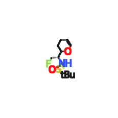 CC(C)(C)[S@@+]([O-])N[C@H](CF)C1CCC=CO1